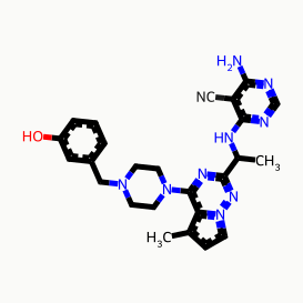 Cc1ccn2nc(C(C)Nc3ncnc(N)c3C#N)nc(N3CCN(Cc4cccc(O)c4)CC3)c12